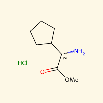 COC(=O)[C@@H](N)C1CCCC1.Cl